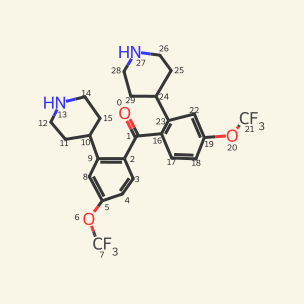 O=C(c1ccc(OC(F)(F)F)cc1C1CCNCC1)c1ccc(OC(F)(F)F)cc1C1CCNCC1